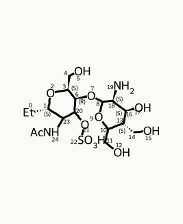 CC[C@@H]1O[C@@H](CO)[C@@H](OC2OC(CO)[C@@H](CO)[C@H](O)[C@@H]2N)C(OS(=O)(=O)O)C1NC(C)=O